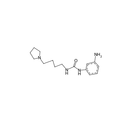 Nc1cccc(NC(=O)NCCCCN2CCCC2)c1